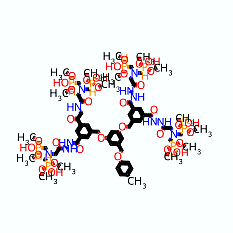 CO[PH](O)(CN(CC(=O)NCC(=O)c1cc(COc2cc(COc3ccc(C)cc3)cc(OCc3cc(C(=O)NNC(=O)CN(C[PH](O)(OC)OC)C[PH](O)(OC)OC)cc(C(=O)NNC(=O)CN(C[PH](O)(OC)OC)C[PH](O)(OC)OC)c3)c2)cc(C(=O)NNC(=O)CN(C[PH](O)(OC)OC)C[PH](O)(OC)OC)c1)C[PH](O)(OC)OC)OC